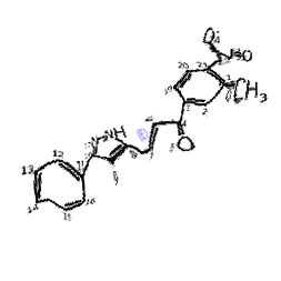 Cc1cc(C(=O)/C=C/c2cc(-c3ccccc3)n[nH]2)ccc1[N+](=O)[O-]